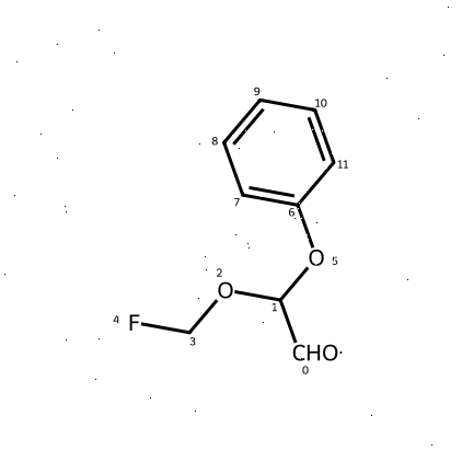 O=[C]C(OCF)Oc1ccccc1